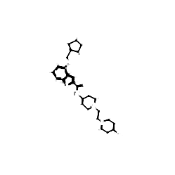 O=C(NC1CCN(CCN2CCC(O)CC2)CC1)c1cc2c(OCC3CCCC3)cccc2[nH]1